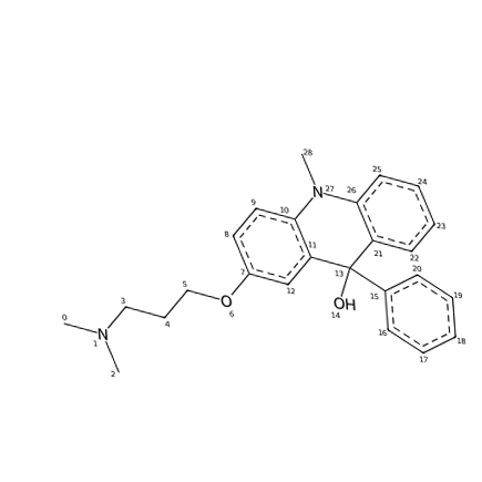 CN(C)CCCOc1ccc2c(c1)C(O)(c1ccccc1)c1ccccc1N2C